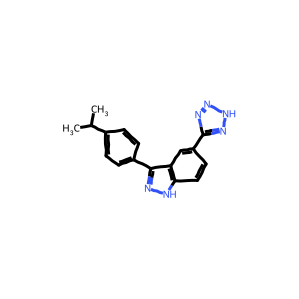 CC(C)c1ccc(-c2n[nH]c3ccc(-c4nn[nH]n4)cc23)cc1